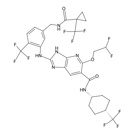 O=C(N[C@H]1CC[C@@H](C(F)(F)F)CC1)c1cc2nc(Nc3cc(CNC(=O)C4(C(F)(F)F)CC4)ccc3C(F)(F)F)[nH]c2nc1OCC(F)F